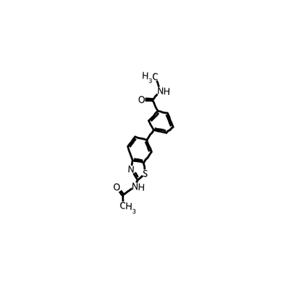 CNC(=O)c1cccc(-c2ccc3nc(NC(C)=O)sc3c2)c1